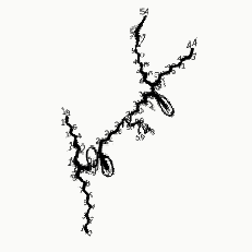 CCCCCCCCCCC(CCCCCCCC)COC(=O)CCCCCN(CCCCCC(=O)C(CCCCCCCC)CCCCCCCCCC)CCN(C)C